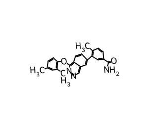 Cc1ccc(Oc2nncc3cc(-c4cc(C(N)=O)ccc4C)ccc23)c(C)c1